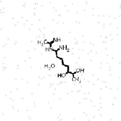 CC(=N)NC(N)CCCCC(O)C(C)O.O